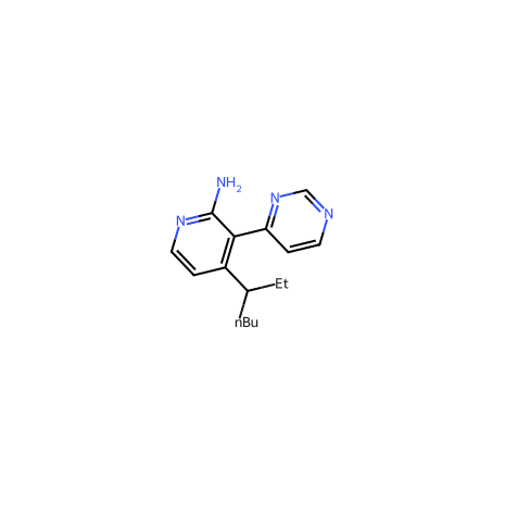 CCCCC(CC)c1ccnc(N)c1-c1ccncn1